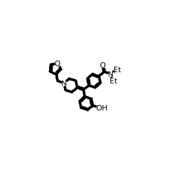 CCN(CC)C(=O)c1ccc(C(=C2CCN(Cc3ccoc3)CC2)c2cccc(O)c2)cc1